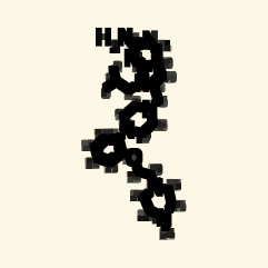 CC(C)Cn1c(CN2CCN(c3ccccc3OCCN3CCN(C)CC3)CC2)cc2cnc(N)nc21